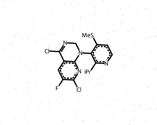 CSc1ccnc(C(C)C)c1N1CN=C(Cl)c2cc(F)c(Cl)nc21